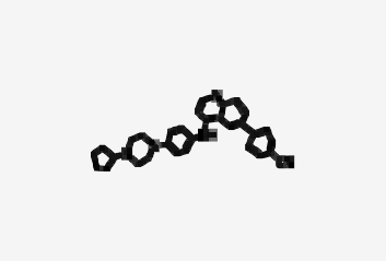 N#Cc1ccc(-c2ccc3nccc(Nc4ccc(N5CCN(C6CCCC6)CC5)cc4)c3c2)cc1